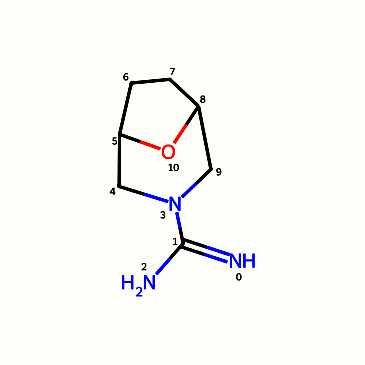 N=C(N)N1CC2CCC(C1)O2